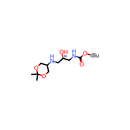 CC(C)(C)OC(=O)NC[C@H](O)CNC1COC(C)(C)OC1